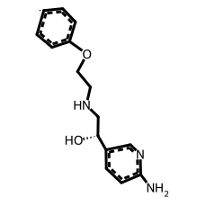 Nc1ccc([C@H](O)CNCCOc2cc[c]cc2)cn1